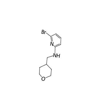 Brc1cccc(NCC2CCOCC2)n1